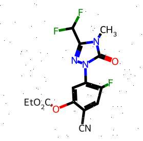 CCOC(=O)Oc1cc(-n2nc(C(F)F)n(C)c2=O)c(F)cc1C#N